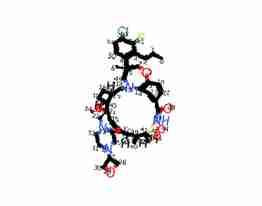 CCCc1c([C@]2(C)COc3ccc4cc3N(C[C@@H]3CC[C@H]3[C@@](CN3CCN(C5COC5)CC3)(OC)C3=C[C@@H](C3)[C@H](C)[C@@H](C)S(=O)(=O)NC4=O)C2)ccc(Cl)c1F